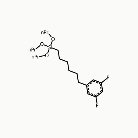 CCCO[Si](CCCCCCc1cc(F)cc(F)c1)(OCCC)OCCC